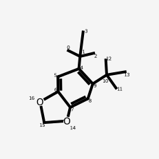 CC(C)(C)c1cc2c(cc1C(C)(C)C)OCO2